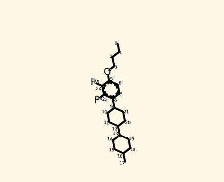 CCCCOc1ccc(C2CCC(C3CCC(C)CC3)CC2)c(F)c1F